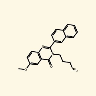 COc1ccc2nc(-c3ccc4ccccc4c3)n(CCCN)c(=O)c2c1